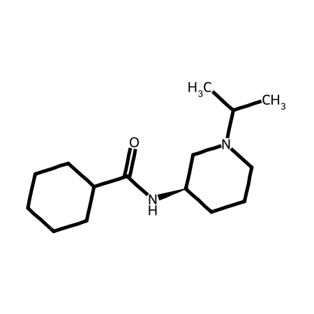 CC(C)N1CCC[C@@H](NC(=O)C2CCCCC2)C1